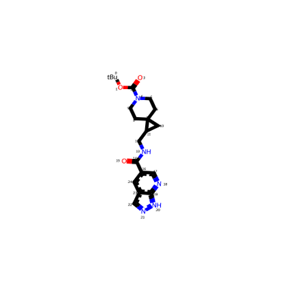 CC(C)(C)OC(=O)N1CCC2(CC1)CC2CNC(=O)c1cnc2[nH]ncc2c1